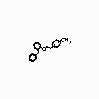 CN1CCN(CCOc2ccccc2Cc2ccccc2)CC1